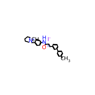 Cc1ccc(-c2cccc(/C=C/C(=O)Nc3ccc(C[N+]4(C)CCCCC4)cc3)c2)cc1.[I-]